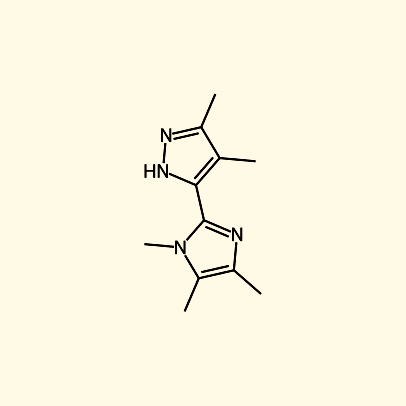 Cc1n[nH]c(-c2nc(C)c(C)n2C)c1C